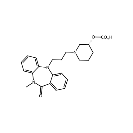 CN1C(=O)c2ccccc2N(CCCN2CCC[C@@H](OC(=O)O)C2)c2ccccc21